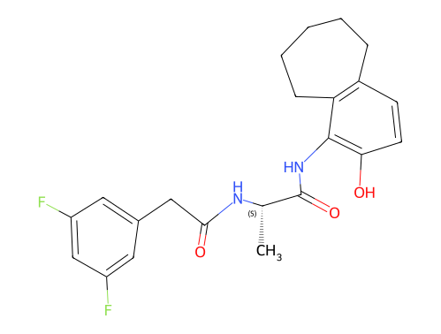 C[C@H](NC(=O)Cc1cc(F)cc(F)c1)C(=O)Nc1c(O)ccc2c1CCCCC2